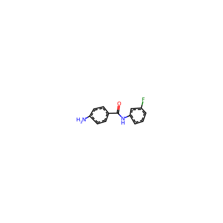 Nc1ccc(C(=O)Nc2cccc(F)c2)cc1